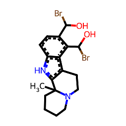 CC12CCCCN1CCc1c2[nH]c2ccc(C(O)Br)c(C(O)Br)c12